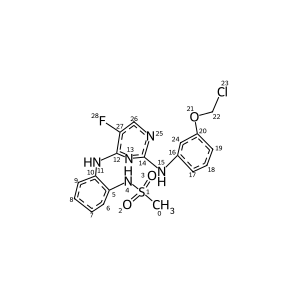 CS(=O)(=O)Nc1ccccc1Nc1nc(Nc2cccc(OCCl)c2)ncc1F